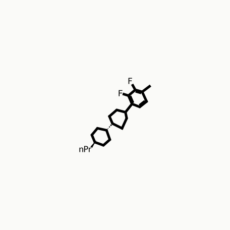 CCC[C@H]1CC[C@H](C2CCC(c3ccc(C)c(F)c3F)CC2)CC1